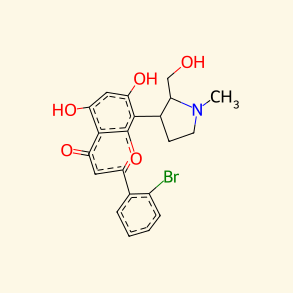 CN1CCC(c2c(O)cc(O)c3c(=O)cc(-c4ccccc4Br)oc23)C1CO